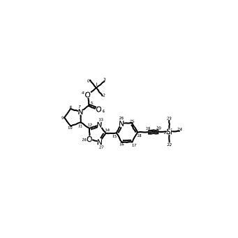 CC(C)(C)OC(=O)N1CCCC1c1nc(-c2ccc(C#C[Si](C)(C)C)cn2)no1